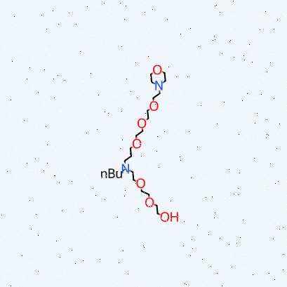 CCCCN(CCCOCCOCCOCCN1CCOCC1)CCOCCOCCO